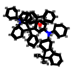 CC1(C)c2ccccc2-c2cc(N(c3ccccc3)c3cccc([Si](c4ccccc4)(c4ccccc4)c4ccccc4N(c4ccccc4)c4ccc5c(c4)oc4ccccc45)c3)ccc21